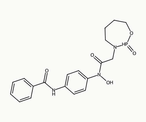 O=C(Nc1ccc(N(O)C(=O)CN2CCCCO[PH]2=O)cc1)c1ccccc1